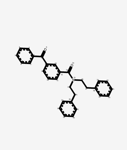 O=C(c1ccccc1)c1cccc(C(=O)N(CCc2ccccc2)CCc2ccccc2)c1